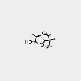 C=C(C)C(=O)O.CC(C=O)(C=O)C=O